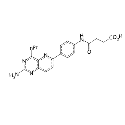 CCCc1nc(N)nc2ccc(-c3ccc(NC(=O)CCC(=O)O)cc3)nc12